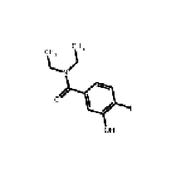 CCN(CC)C(=O)c1ccc(I)c(O)c1